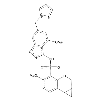 COc1ccc2c(c1S(=O)(=O)Nc1noc3cc(Cn4cccn4)cc(OC)c13)OCC1CC21